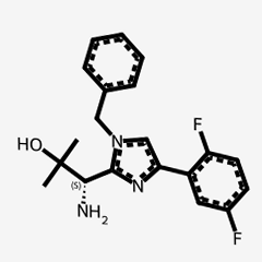 CC(C)(O)[C@@H](N)c1nc(-c2cc(F)ccc2F)cn1Cc1ccccc1